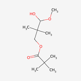 COC(O)C(C)(C)COC(=O)C(C)(C)C